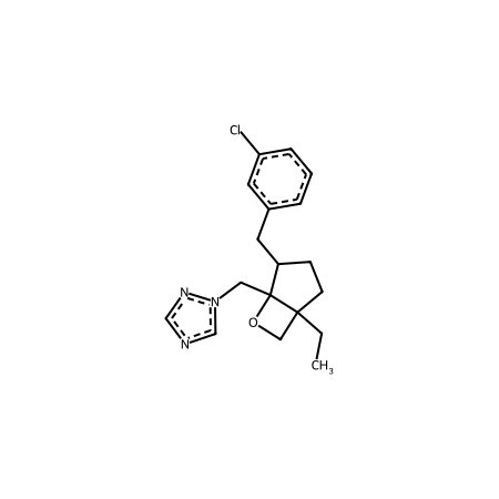 CCC12CCC(Cc3cccc(Cl)c3)C1(Cn1cncn1)OC2